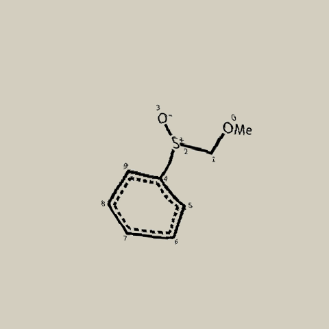 COC[S+]([O-])c1[c]cccc1